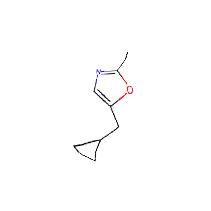 Cc1ncc(CC2CC2)o1